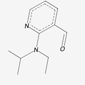 CCN(c1ncccc1C=O)C(C)C